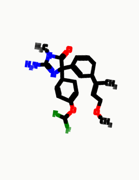 COC/C=C(\C)C1C=C(C2(C3C=CC(OC(F)F)=CC3)N=C(N)N(C)C2=O)C=CC1